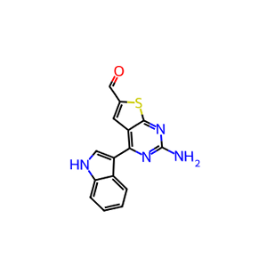 Nc1nc(-c2c[nH]c3ccccc23)c2cc(C=O)sc2n1